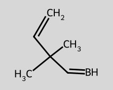 B=CC(C)(C)C=C